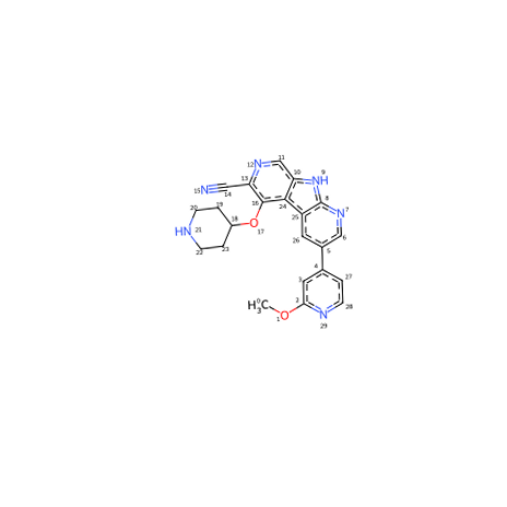 COc1cc(-c2cnc3[nH]c4cnc(C#N)c(OC5CCNCC5)c4c3c2)ccn1